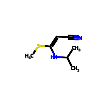 CSC(=CC#N)NC(C)C